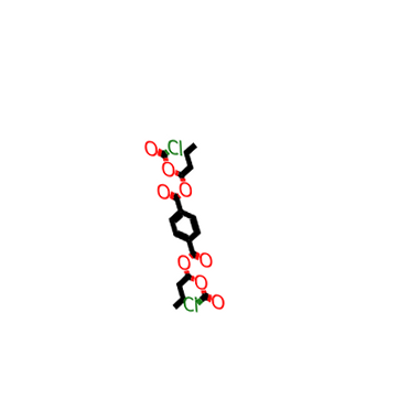 CCCC(OC(=O)Cl)OC(=O)c1ccc(C(=O)OC(CCC)OC(=O)Cl)cc1